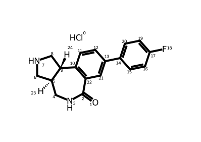 Cl.O=C1NC[C@H]2CNC[C@@H]2c2ccc(-c3ccc(F)cc3)cc21